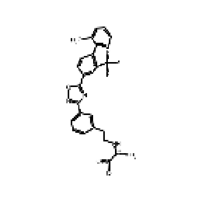 Cc1ccccc1-c1ccc(-c2nc(-c3cccc(CCN[C@@H](C)C(=O)O)c3)no2)cc1C(F)(F)F